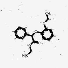 CCOC(=O)C(Oc1ccccc1OCC)c1ccccc1